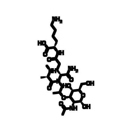 CN[C@@H](C)C(=O)N(CC(C)O[C@H]1[C@H](O)[C@@H](CO)O[C@H](O)[C@@H]1NC(C)=O)[C@H](CCC(=O)N[C@@H](CCCCN)C(=O)O)C(N)=O